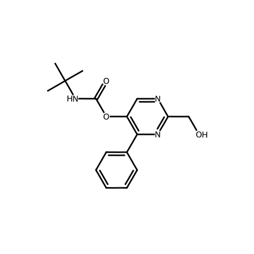 CC(C)(C)NC(=O)Oc1cnc(CO)nc1-c1ccccc1